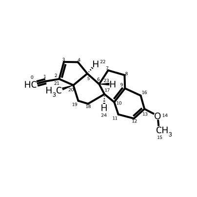 C#CC1=CC[C@H]2[C@@H]3CCC4=C(CC=C(OC)C4)[C@H]3CC[C@]12C